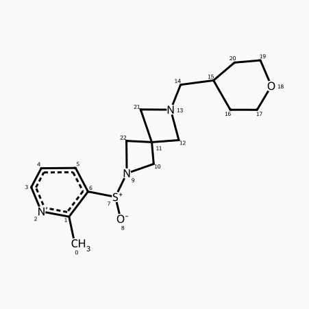 Cc1ncccc1[S+]([O-])N1CC2(CN(CC3CCOCC3)C2)C1